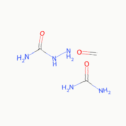 C=O.NC(N)=O.NNC(N)=O